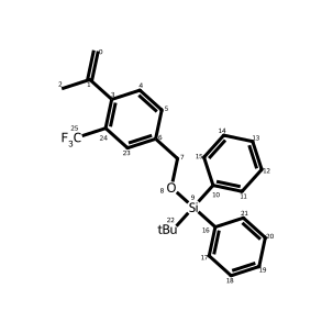 C=C(C)c1ccc(CO[Si](c2ccccc2)(c2ccccc2)C(C)(C)C)cc1C(F)(F)F